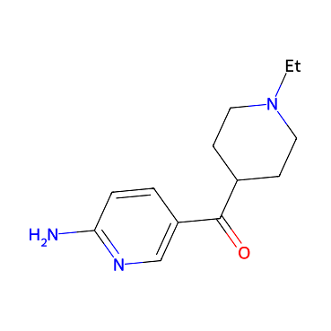 CCN1CCC(C(=O)c2ccc(N)nc2)CC1